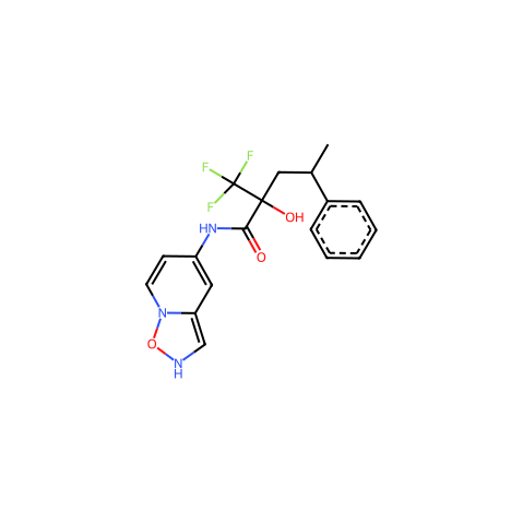 CC(CC(O)(C(=O)NC1=CC2=CNON2C=C1)C(F)(F)F)c1ccccc1